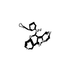 Clc1cccc(Nc2nc3ccncc3c3nn4ccncc4c23)c1